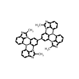 Cc1nc2cccc3c2n1-c1cc(-c2cc4c5c(c2)-n2c(C)nc6cccc(c62)B5c2cccc5nc(C)n-4c25)cc2c1B3c1cccc3nc(C)n-2c13